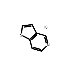 [K].c1cc2sccc2cn1